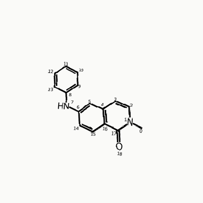 Cn1ccc2cc(Nc3ccccc3)ccc2c1=O